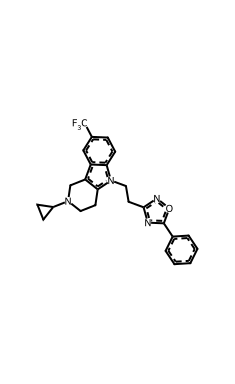 FC(F)(F)c1ccc2c(c1)c1c(n2CCc2noc(-c3ccccc3)n2)CCN(C2CC2)C1